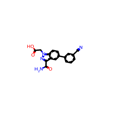 N#Cc1cccc(-c2ccc3c(c2)c(C(N)=O)nn3CC(=O)O)c1